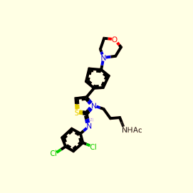 CC(=O)NCCCn1c(-c2ccc(N3CCOCC3)cc2)cs/c1=N\c1ccc(Cl)cc1Cl